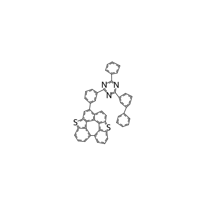 c1ccc(-c2cccc(-c3nc(-c4ccccc4)nc(-c4cccc(-c5cc6sc7cccc8c7c6c6c5ccc5sc7cccc-8c7c56)c4)n3)c2)cc1